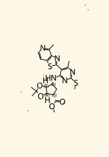 COC(=O)[C@H]1C[C@@H](Nc2nc(SC)nc(C)c2-c2nc3c(C)nccc3s2)[C@@H]2OC(C)(C)O[C@@H]21